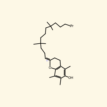 Cc1c(C)c2c(c(C)c1O)CC/C(=C\CCC(C)(C)CCCC(C)(C)CCCC(C)C)O2